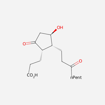 CCCCCC(=O)CC[C@H]1[C@H](O)CC(=O)[C@H]1CCC(=O)O